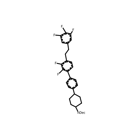 CCCCCCCCCCC1CCC(c2ccc(-c3ccc(CCc4cc(F)c(F)c(F)c4)c(F)c3F)cc2)CC1